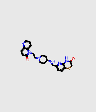 O=C1CSc2ccc(CNC3CCN(CCn4c(=O)ccc5ncccc54)CC3)nc2N1